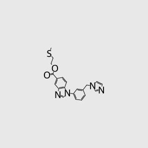 CSCCOC(=O)c1ccc2c(c1)ncn2-c1cccc(Cn2ccnc2)c1